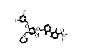 CNC(=O)c1cccc(-c2cccc(COc3cc(OCc4cc(F)cc(F)c4)c(CN4CCCCC4)cc3Cl)c2C)c1C